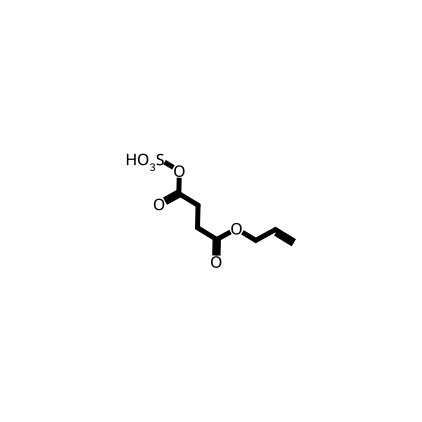 C=CCOC(=O)CCC(=O)OS(=O)(=O)O